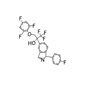 OC(COc1c(F)cc(F)cc1F)(c1ccc2c(c1)C=NC2c1ccc(F)cc1)C(F)(F)F